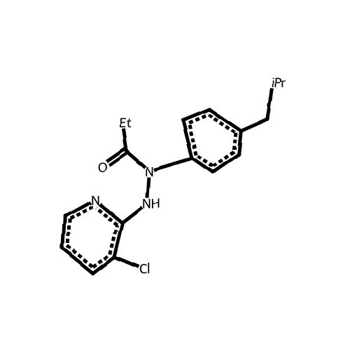 CCC(=O)N(Nc1ncccc1Cl)c1ccc(CC(C)C)cc1